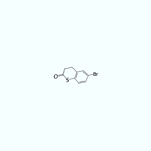 O=C1CCc2cc(Br)ccc2S1